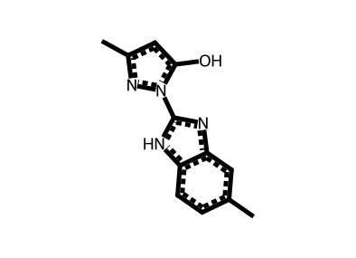 Cc1ccc2[nH]c(-n3nc(C)cc3O)nc2c1